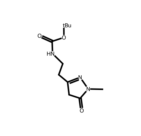 CN1N=C(CCNC(=O)OC(C)(C)C)CC1=O